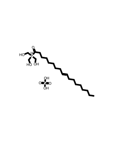 CCCCCCCCC=CCCCCCCCC(=O)[PH](CO)(CO)CO.O=S(=O)(O)O